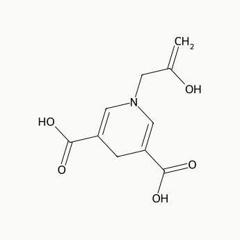 C=C(O)CN1C=C(C(=O)O)CC(C(=O)O)=C1